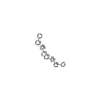 c1ccc(-c2cccc(-c3nnc(-c4ccc5ccc(-c6nnc(-c7cccc(-c8ccccc8)n7)s6)nc5n4)s3)n2)cc1